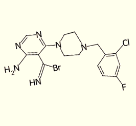 N=C(Br)c1c(N)ncnc1N1CCN(Cc2ccc(F)cc2Cl)CC1